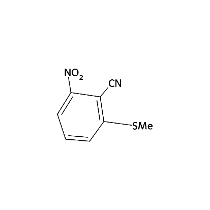 CSc1cccc([N+](=O)[O-])c1C#N